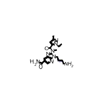 CCn1nc(C)cc1C(=O)N(C)c1nc2cc(C(N)=O)cnc2n1C/C=C/CN